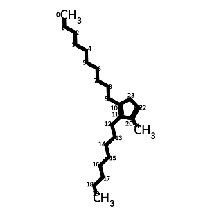 CCCCCCCCCCC1=C(CCCCCCCC)C(C)=CC1